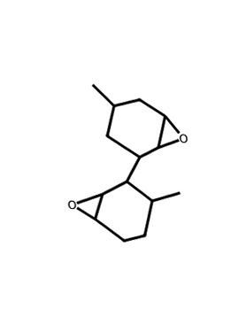 CC1CC2OC2C(C2C(C)CCC3OC32)C1